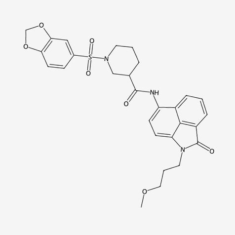 COCCCN1C(=O)c2cccc3c(NC(=O)C4CCCN(S(=O)(=O)c5ccc6c(c5)OCO6)C4)ccc1c23